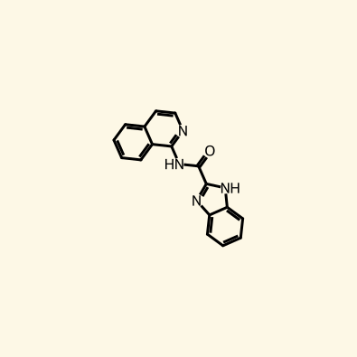 O=C(Nc1nccc2ccccc12)c1nc2ccccc2[nH]1